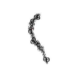 C=CC(=O)OCCCCCCCC1CCC(COc2ccc(C(=O)OCCCCCCOC3CCC(C4CCC(OCCCOC(=O)C=C)CC4)CC3)cc2)CC1